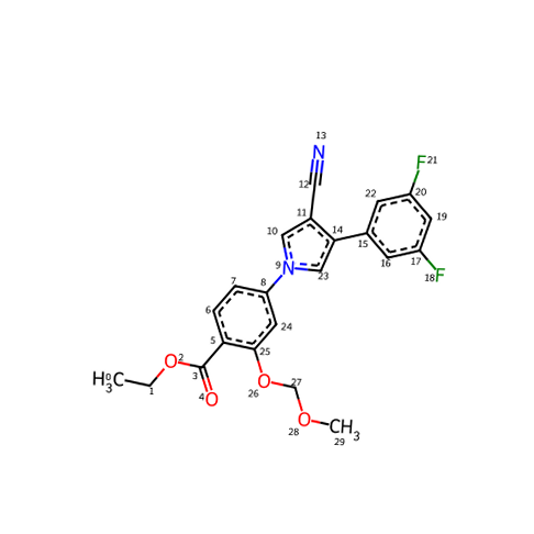 CCOC(=O)c1ccc(-n2cc(C#N)c(-c3cc(F)cc(F)c3)c2)cc1OCOC